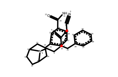 N#CCC(=O)N(CCN1C2CCC1CC(c1cccc(C(N)=O)c1)C2)Cc1ccccc1